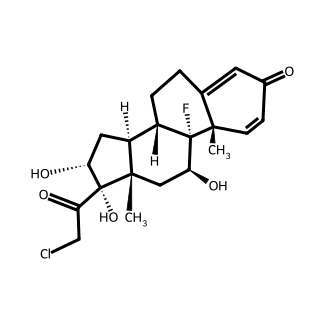 C[C@]12C=CC(=O)C=C1CC[C@H]1[C@@H]3C[C@@H](O)[C@](O)(C(=O)CCl)[C@@]3(C)C[C@H](O)[C@@]12F